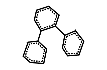 [c]1ccccc1-c1ccccc1-c1[c]cccc1